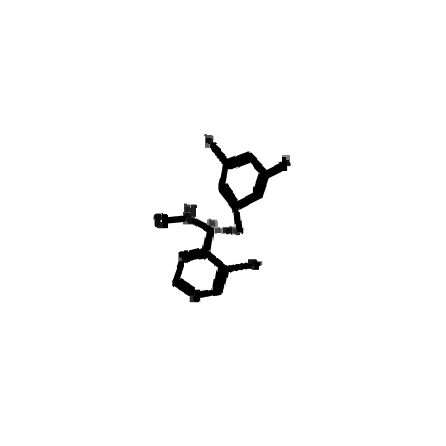 Fc1cc(F)cc(C[C@@H](NCl)c2ncncc2Br)c1